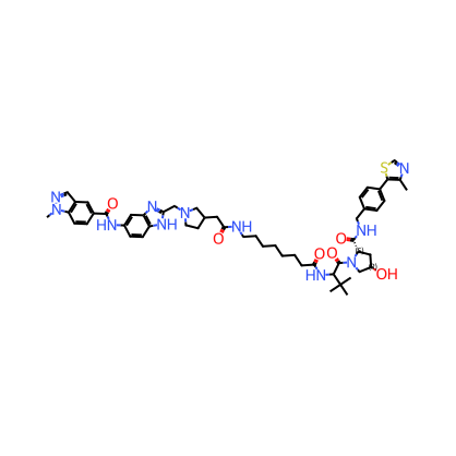 Cc1ncsc1-c1ccc(CNC(=O)[C@@H]2C[C@@H](O)CN2C(=O)C(NC(=O)CCCCCCCNC(=O)CC2CCN(Cc3nc4cc(NC(=O)c5ccc6c(cnn6C)c5)ccc4[nH]3)C2)C(C)(C)C)cc1